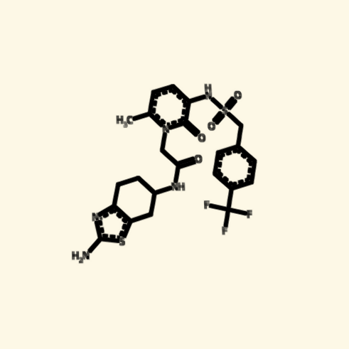 Cc1ccc(NS(=O)(=O)Cc2ccc(C(F)(F)F)cc2)c(=O)n1CC(=O)NC1CCc2nc(N)sc2C1